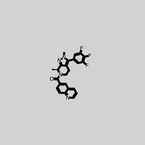 C[C@H]1c2nn(C)c(-c3cc(F)c(F)c(F)c3)c2CCN1C(=O)c1ccc2ncccc2c1